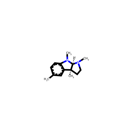 Cc1ccc2c(c1)[C@]1(C)CCN(C)[C@@H]1N2C